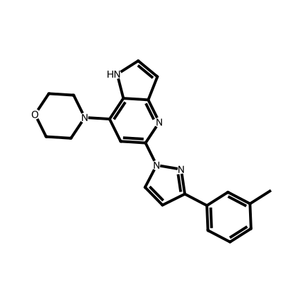 Cc1cccc(-c2ccn(-c3cc(N4CCOCC4)c4[nH]ccc4n3)n2)c1